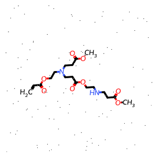 C=CC(=O)OCCN(CCC(=O)OC)CCC(=O)OCCNCCC(=O)OC